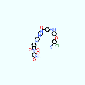 N#Cc1ccc(O[C@H]2CC[C@H](Nc3ccc(C(=O)N4CCN(C5CCN(c6ccc7c(c6)C(=O)N(C6CCC(=O)NC6=O)C7=O)CC5)CC4)cc3)CC2)cc1Cl